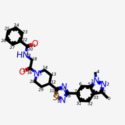 Cc1nn(C)c2cc(-c3nsc(C4CCN(C(=O)CNC(=O)c5ccccc5)CC4)n3)ccc12